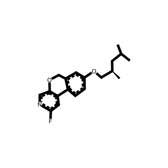 CC(C)C[C@@H](C)COc1ccc2c(c1)COc1cnc(F)cc1-2